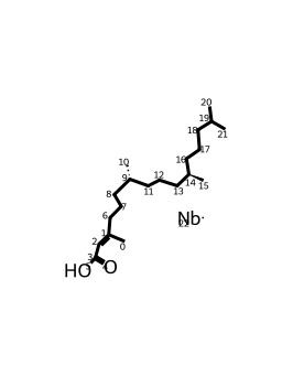 C/C(=C\C(=O)O)CCC[C@H](C)CCC[C@H](C)CCCC(C)C.[Nb]